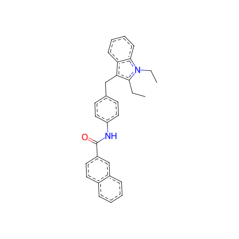 CCc1c(Cc2ccc(NC(=O)c3ccc4ccccc4c3)cc2)c2ccccc2n1CC